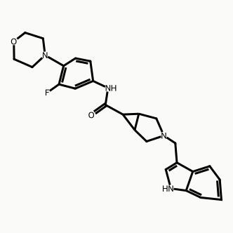 O=C(Nc1ccc(N2CCOCC2)c(F)c1)C1C2CN(Cc3c[nH]c4ccccc34)CC21